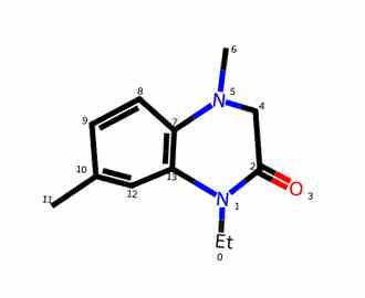 CCN1C(=O)CN(C)c2ccc(C)cc21